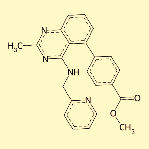 COC(=O)c1ccc(-c2cccc3nc(C)nc(NCc4ccccn4)c23)cc1